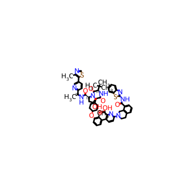 Cc1ncsc1-c1ccc([C@H](C)NC(=O)[C@@H]2C[C@@H](O)CN2C(=O)[C@@H](NC(=O)CC2CCC(Oc3cccc(-c4ccc(N5CCc6cccc(C(=O)Nc7nc8ccccc8s7)c6C5)nc4C(=O)O)c3C)CC2)C(C)(C)C)nc1